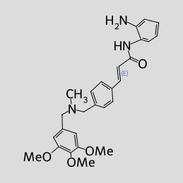 COc1cc(CN(C)Cc2ccc(/C=C/C(=O)Nc3ccccc3N)cc2)cc(OC)c1OC